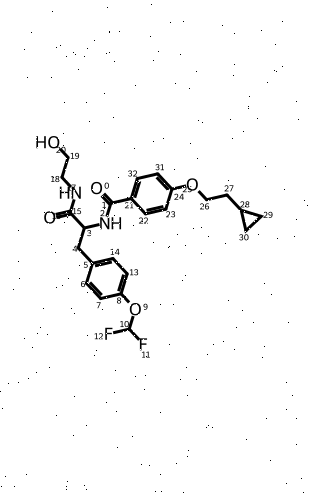 O=C(NC(Cc1ccc(OC(F)F)cc1)C(=O)NCCO)c1ccc(OCCC2CC2)cc1